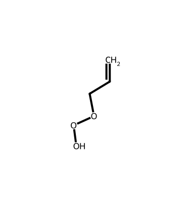 C=CCOOO